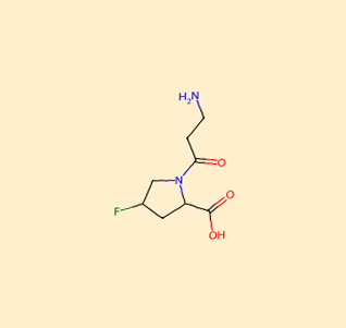 NCCC(=O)N1CC(F)CC1C(=O)O